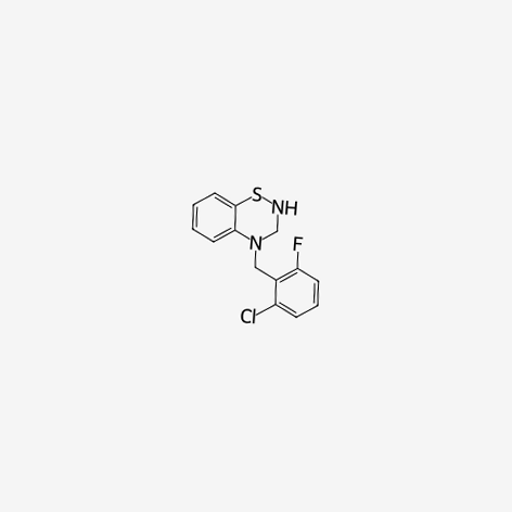 Fc1cccc(Cl)c1CN1CNSc2ccccc21